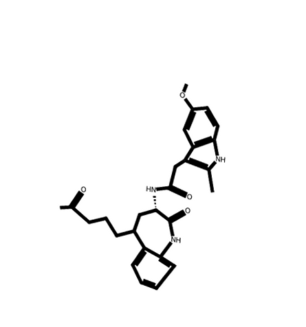 COc1ccc2[nH]c(C)c(CC(=O)N[C@H]3CC(CCCC(C)=O)c4ccccc4NC3=O)c2c1